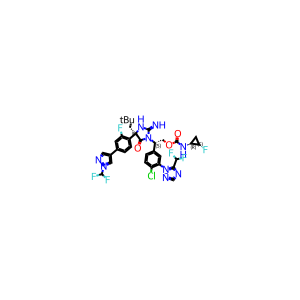 CC(C)(C)C[C@]1(c2ccc(-c3cnn(C(F)F)c3)cc2F)NC(=N)N([C@H](COC(=O)N[C@@H]2C[C@@H]2F)c2ccc(Cl)c(-n3ncnc3C(F)F)c2)C1=O